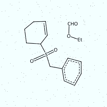 CCOC=O.O=S(=O)(Cc1ccccc1)C1C=CCCC1